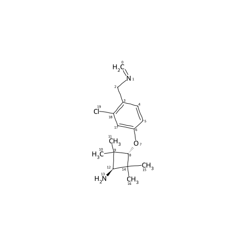 C=NCc1ccc(O[C@H]2C(C)(C)[C@H](N)C2(C)C)cc1Cl